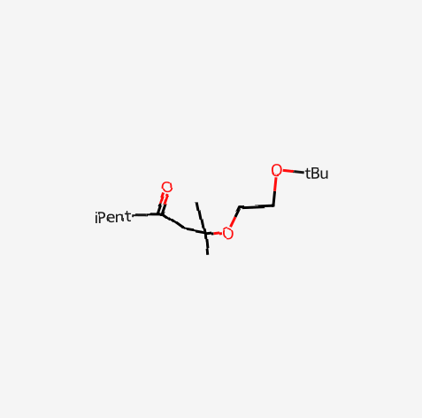 CCCC(C)C(=O)CC(C)(C)OCCOC(C)(C)C